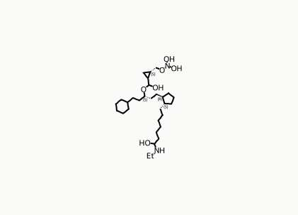 CCNC(O)CCCCCC[C@H]1CCC[C@@H]1CC[C@H](CCC1CCCCC1)OC(O)C1C[C@@H]1CON(O)O